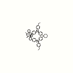 C=C(C)C(=O)Oc1ccc(N(c2ccc(CC)cc2)c2ccc(C3(c4ccc(N(c5ccc(CC)cc5)c5ccc(OC(=O)C(=C)C)cc5)cc4)CCCCC3)cc2)cc1